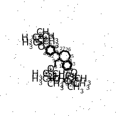 CC(C)(C)[Si](C)(C)OCCC1c2ccc(O[Si](C)(C)C(C)(C)C)cc2CCCC1c1ccc(O[Si](C)(C)C(C)(C)C)cc1